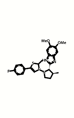 COc1cc2nc([C@@H]3[C@@H](C)CCN3N3[C]=C(c4ccc(F)cc4)SC3C)[nH]c2cc1OC